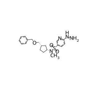 CN([C@@H]1CC[C@H](COCc2ccccc2)C1)S(=O)(=O)c1ccc(NN)nc1